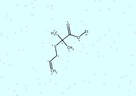 C=CCSC(C)(C)C(=O)OCC